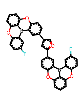 Fc1ccc2c(c1)B1c3cc(-c4coc(-c5ccc6c(c5)B5c7cc(F)ccc7Oc7cccc(c75)O6)c4)ccc3Oc3cccc(c31)O2